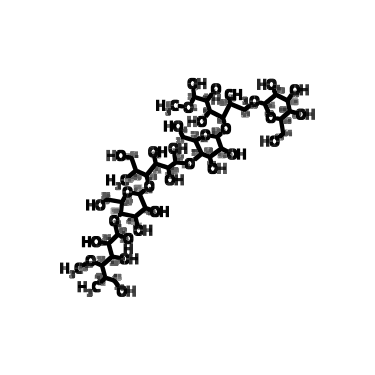 COC(O)C(O)C(O)C(OC1OC(CO)C(OC(O)C(O)C(O)C(OC2OC(CO)C(OC(O)C(O)C(O)C(OC)C(C)CO)C(O)C2O)C(C)CO)C(O)C1O)C(C)COC1OC(CO)C(O)C(O)C1O